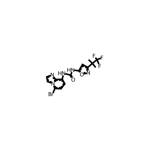 CC(C)(c1cc(NC(=O)Nc2ccc(Br)n3ccnc23)on1)C(F)(F)F